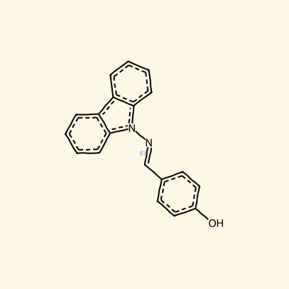 Oc1ccc(/C=N/n2c3ccccc3c3ccccc32)cc1